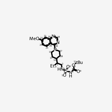 CCC(CNS(=O)(=O)NC(=O)OC(C)(C)C)C1CCN(c2ncnc3cc(OC)ccc23)CC1